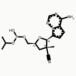 CC(C)OP(O)OC[C@@H]1C[C@@](C)(C#N)[C@H](c2ccc3c(N)ncnn23)O1